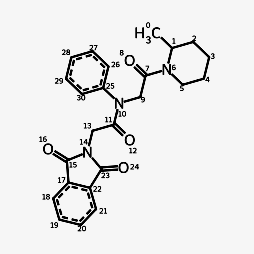 CC1CCCCN1C(=O)CN(C(=O)CN1C(=O)c2ccccc2C1=O)c1ccccc1